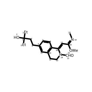 CCC(O)(CC)CCc1ccc2c(c1)CCN(C=O)/C2=C\C(=N/C)OC